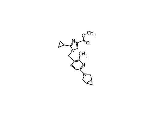 COC(=O)c1cn(Cc2ccc(N3CC4CC4C3)nc2C)c(C2CC2)n1